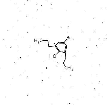 CCCc1cc(Br)cc(CCC)c1O